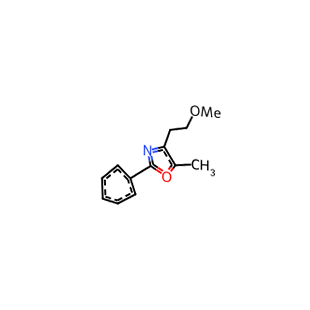 COCCc1nc(-c2ccccc2)oc1C